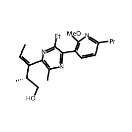 C/C=C(\c1nc(CC)c(-c2ccc(C(C)C)nc2OC)nc1C)[C@@H](C)CO